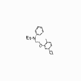 CCN(CCOc1cc(Cl)ccc1C)c1ccccc1